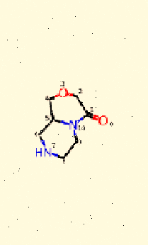 O=C1CO[CH]C2CNCCN12